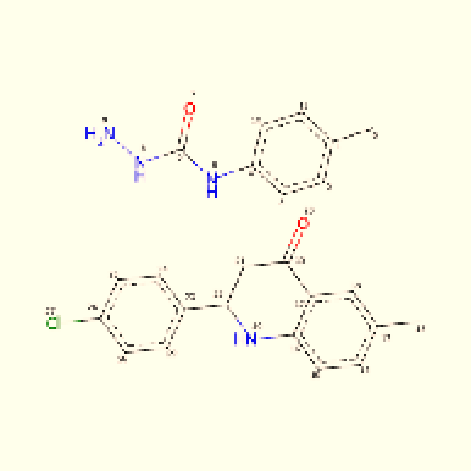 Cc1ccc(NC(=O)NN)cc1.Cc1ccc2c(c1)C(=O)CC(c1ccc(Cl)cc1)N2